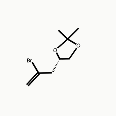 C=C(Br)C[C@H]1COC(C)(C)O1